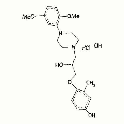 COc1ccc(OC)c(N2CCN(CC(O)COc3ccc(O)cc3C)CC2)c1.Cl.Cl